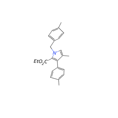 CCOC(=O)c1c(-c2ccc(C)cc2)c(C)cn1Cc1ccc(C)cc1